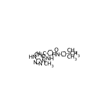 CNc1cc(N(C)C(=O)Nc2cc(C(=O)Nc3ccc(C(C)(C)C)cc3)ccc2C)ncn1